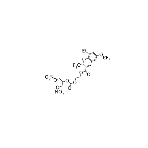 CCc1cc(OC(F)(F)F)cc2c1OC(C(F)(F)F)C(C(=O)OCCOC(=O)OC(CO[N+](=O)[O-])CO[N+](=O)[O-])=C2